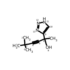 CC(C)(C)C#CC(C)(O)c1c[nH]nn1